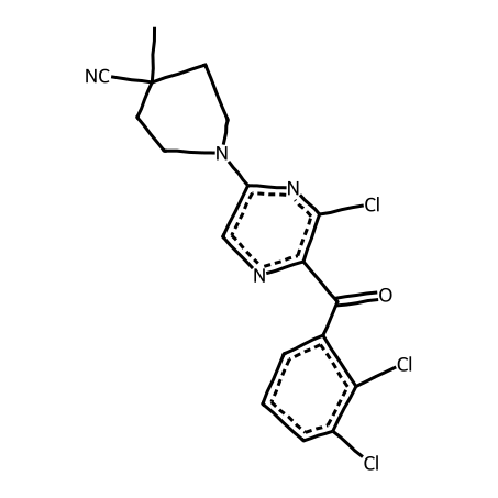 CC1(C#N)CCN(c2cnc(C(=O)c3cccc(Cl)c3Cl)c(Cl)n2)CC1